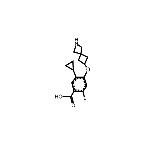 O=C(O)c1cc(C2CC2)c(OC2CC3(CNC3)C2)cc1F